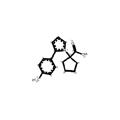 Cc1ccc(-c2cccn2C2(C(=O)O)CCCC2)cc1